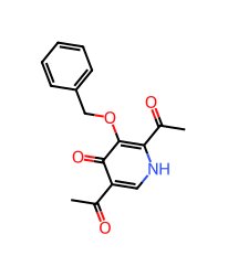 CC(=O)c1[nH]cc(C(C)=O)c(=O)c1OCc1ccccc1